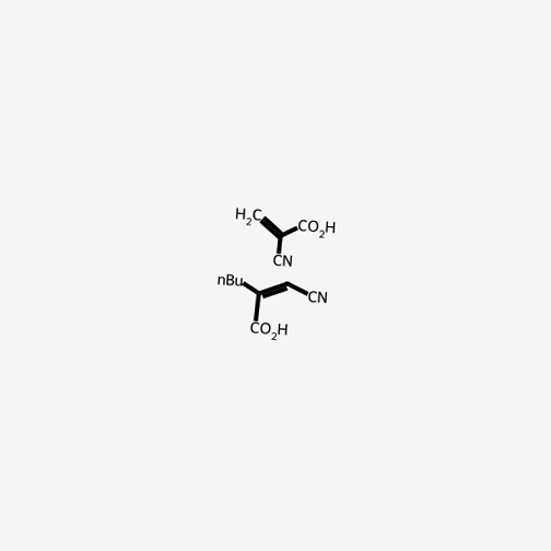 C=C(C#N)C(=O)O.CCCCC(=CC#N)C(=O)O